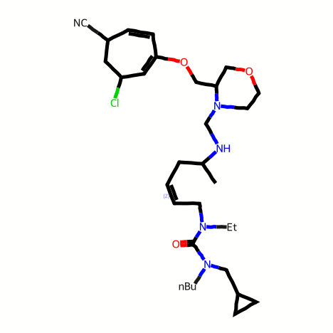 CCCCN(CC1CC1)C(=O)N(CC)C/C=C\CC(C)NCN1CCOCC1COC1=CC(Cl)CC(C#N)C=C1